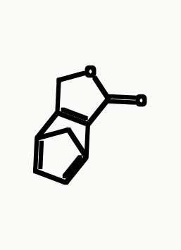 O=C1OCC2=C1C1=CC=C2C1